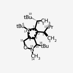 C=C(c1c2c(n(C(C)(C)C)c1[C@@H](C)C(C)(C)C)CON(C)C2C(C)(C)C)C(C)C